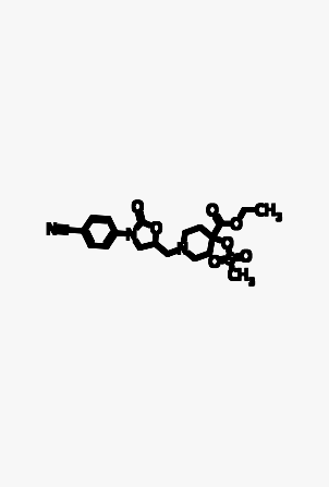 CCOC(=O)C1(OS(C)(=O)=O)CCN(CC2CN(c3ccc(C#N)cc3)C(=O)O2)CC1